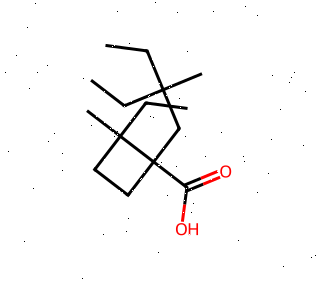 CCC(C)(CC)CC1(C(=O)O)CCC1(C)CC